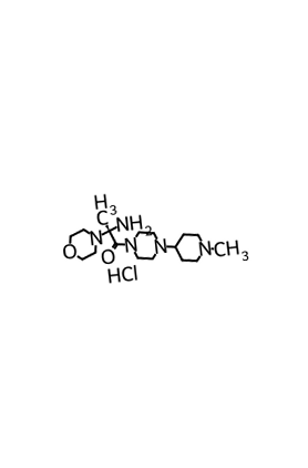 CN1CCC(N2CCN(C(=O)[C@@](C)(N)N3CCOCC3)CC2)CC1.Cl